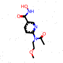 COCCN(C(C)=O)c1ccc(C(=O)NO)cn1